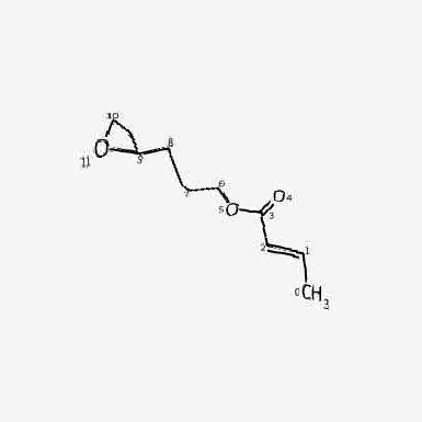 CC=CC(=O)OCCCC1CO1